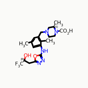 Cc1cc(CN2CCN(C(=O)O)[C@@H](C)C2)c(C)c(Nc2nnc(C[C@@H](O)C(F)(F)F)o2)c1